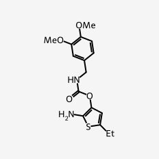 CCc1cc(OC(=O)NCc2ccc(OC)c(OC)c2)c(N)s1